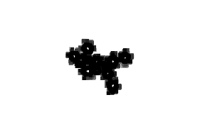 c1ccc(C2=c3ccccc3=NC(c3cccc4oc5c(-n6c7ccc(-c8ccccc8)cc7c7cc(-c8ccccc8)ccc76)cccc5c34)N2)cc1